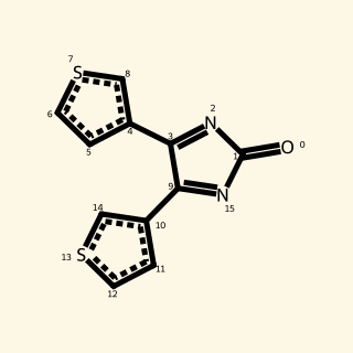 O=C1N=C(c2ccsc2)C(c2ccsc2)=N1